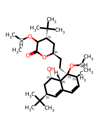 C[C@H]1C=CC2=C[C@@H](C(C)(C)C)C[C@H](O)[C@@H]2[C@@]1(CC[C@@H]1C[C@@H](C(C)(C)C)C(O[SiH](C)C)C(=O)O1)O[SiH](C)C